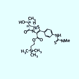 CNC(=S)Nc1ccc(C2=C(C(=O)OCC[Si](C)(C)C)N3C(=O)[C@H]([C@@H](C)O)[C@H]3S2)cc1